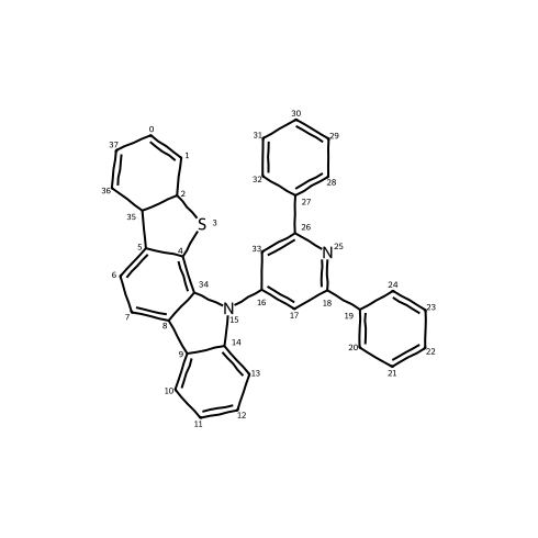 C1=CC2Sc3c(ccc4c5ccccc5n(-c5cc(-c6ccccc6)nc(-c6ccccc6)c5)c34)C2C=C1